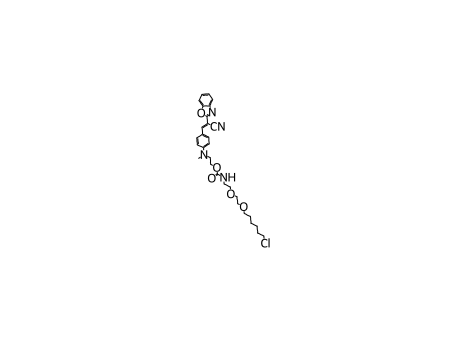 CN(CCOC(=O)NCCOCCOCCCCCCCl)c1ccc(/C=C(\C#N)c2nc3ccccc3o2)cc1